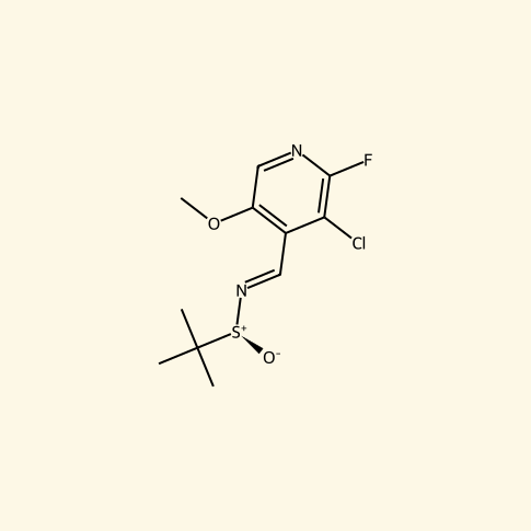 COc1cnc(F)c(Cl)c1C=N[S@@+]([O-])C(C)(C)C